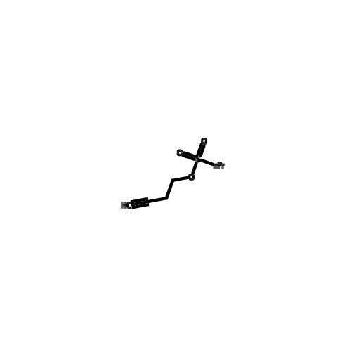 C#CCCOS(=O)(=O)CCC